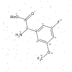 COC(=O)C(N)c1cc(F)cc(OC(F)(F)F)c1